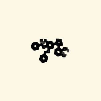 O=[N+]([O-])c1cc(-c2nnsc2-c2ccc[n+]([O-])c2C(F)(F)F)cc(OCc2ccccc2)c1OCc1ccccc1